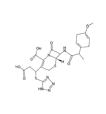 COC1=CCC(C(C)C(=O)NC2C(=O)N3C(C(=O)O)=C(C(CC(=O)O)Sc4nnn[nH]4)CS[C@@H]23)=CC1